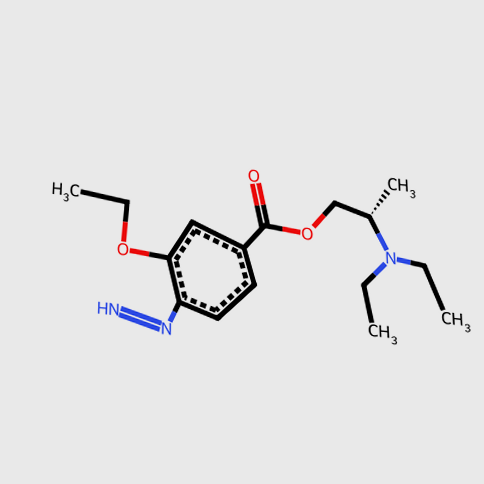 CCOc1cc(C(=O)OC[C@H](C)N(CC)CC)ccc1N=N